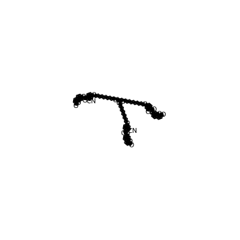 N#Cc1cc(OCCCCCCCCCCOCC(COCCCCCCCCCCOc2ccc(C(=O)Oc3ccc4ccc(=O)oc4c3)c(C#N)c2)OCCCCCCCCCCOc2ccc(C(=O)Oc3ccc4ccc(=O)oc4c3)c(C#N)c2)ccc1C(=O)Oc1ccc2ccc(=O)oc2c1